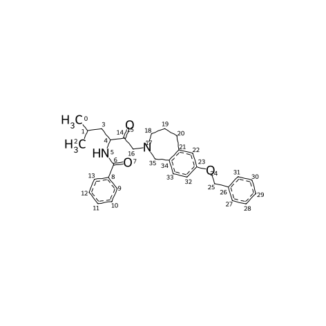 CC(C)CC(NC(=O)c1ccccc1)C(=O)CN1CCCc2cc(OCc3ccccc3)ccc2C1